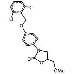 COCC1CN(c2ccc(OCc3c(Cl)cccc3Cl)cc2)C(=O)O1